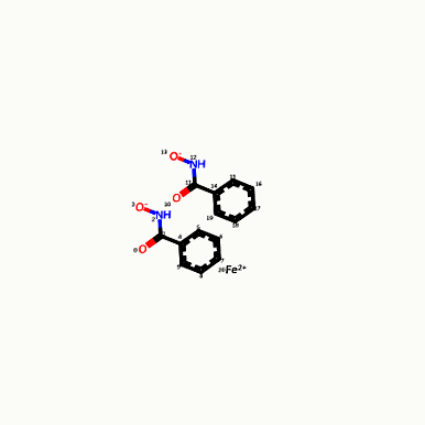 O=C(N[O-])c1ccccc1.O=C(N[O-])c1ccccc1.[Fe+2]